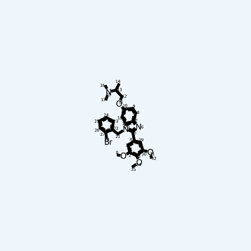 COc1cc(-c2nc3ccc(OCC(C)N(C)C)cc3n2Cc2ccccc2Br)cc(OC)c1OC